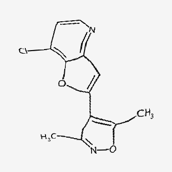 Cc1noc(C)c1-c1cc2nccc(Cl)c2o1